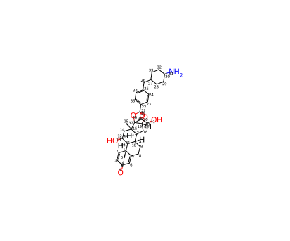 C[C@]12C=CC(=O)C=C1CC[C@@H]1[C@@H]2[C@@H](O)C[C@@]2(C)[C@H]1C[C@H]1OC(c3ccc(CC4CCC(N)CC4)cc3)O[C@]12C(=O)CO